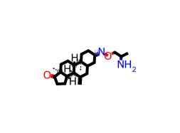 C=C1CC2C/C(=N\OCC(C)N)CC[C@]2(C)[C@H]2CC[C@]3(C)C(=O)CC[C@H]3[C@H]12